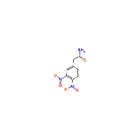 NC(=O)Cc1ccc([N+](=O)[O-])c([N+](=O)[O-])c1